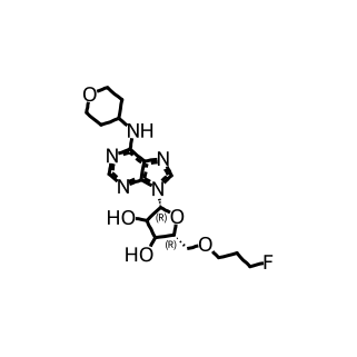 OC1C(O)[C@@H](COCCCF)O[C@H]1n1cnc2c(NC3CCOCC3)ncnc21